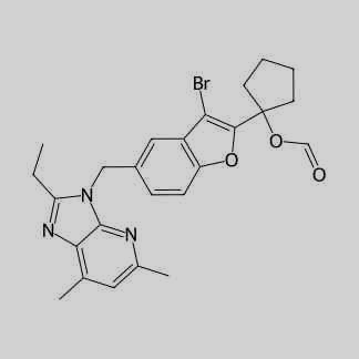 CCc1nc2c(C)cc(C)nc2n1Cc1ccc2oc(C3(OC=O)CCCC3)c(Br)c2c1